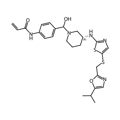 C=CC(=O)Nc1ccc(C(O)N2CCC[C@@H](Nc3ncc(SCc4ncc(C(C)C)o4)s3)C2)cc1